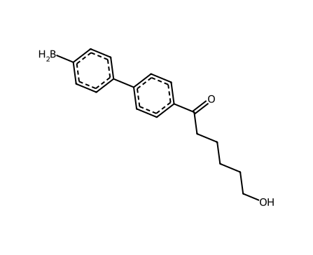 Bc1ccc(-c2ccc(C(=O)CCCCCO)cc2)cc1